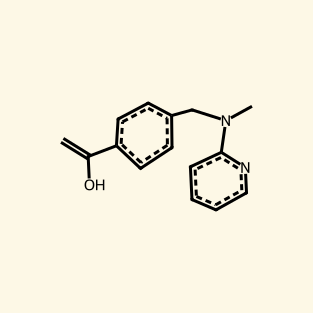 C=C(O)c1ccc(CN(C)c2ccccn2)cc1